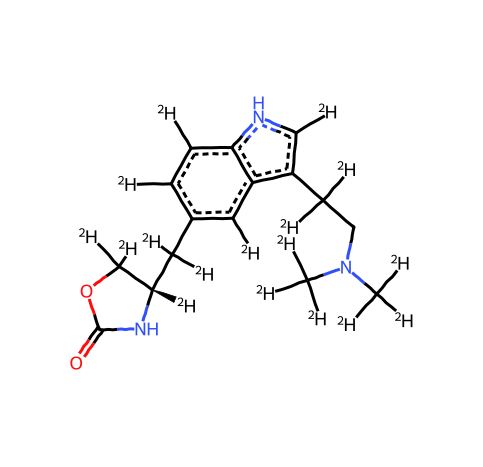 [2H]c1[nH]c2c([2H])c([2H])c(C([2H])([2H])[C@]3([2H])NC(=O)OC3([2H])[2H])c([2H])c2c1C([2H])([2H])CN(C([2H])([2H])[2H])C([2H])([2H])[2H]